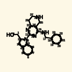 OCc1cc2ccccc2n1-c1nc2c(c(NCc3ccccc3)n1)CNCC2